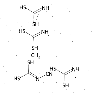 C.N#CN=C(S)S.N=C(S)S.N=C(S)S.N=C(S)S